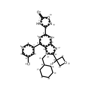 O=c1[nH]c(-c2nc(-c3cncc(Cl)c3)c3c(n2)nc(C2(F)COC2)n3CC2CCCCC2)no1